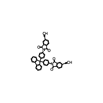 C#Cc1ccc2c(c1)C(=O)N(c1ccc(C3(c4ccc(N5C(=O)c6ccc(C#C)cc6C5=O)cc4)c4ccccc4-c4ccccc43)cc1)C2=O